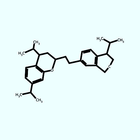 CC(C)c1ccc2c(c1)OC(CCc1ccc3c(c1)CCCC3C(C)C)CC2C(C)C